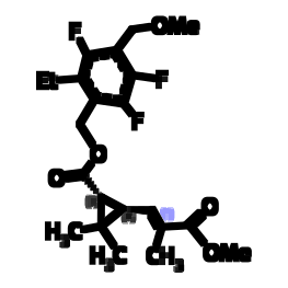 CCc1c(F)c(COC)c(F)c(F)c1COC(=O)[C@@H]1[C@@H](/C=C(\C)C(=O)OC)C1(C)C